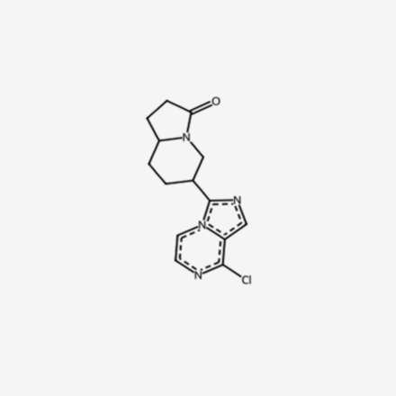 O=C1CCC2CCC(c3ncc4c(Cl)nccn34)CN12